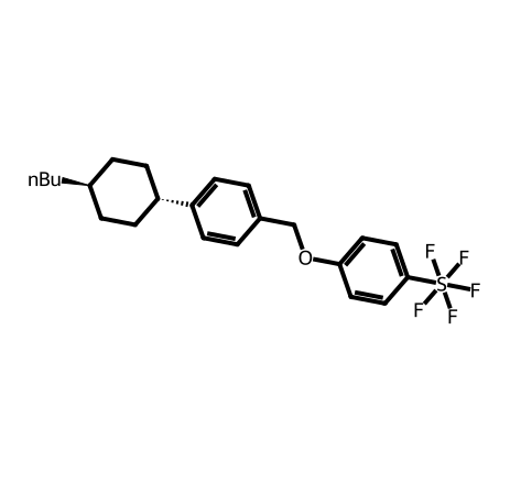 CCCC[C@H]1CC[C@H](c2ccc(COc3ccc(S(F)(F)(F)(F)F)cc3)cc2)CC1